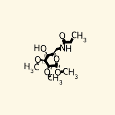 CCC(=O)NC[C@H]1O[C@H](OC)[C@H](OC)[C@@H](OC)[C@@H]1O